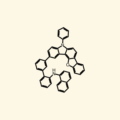 c1ccc(-n2c3ccc(-c4cccc(-c5ccccc5Nc5cccc6ccccc56)c4)cc3c3c4oc5ccccc5c4ccc32)cc1